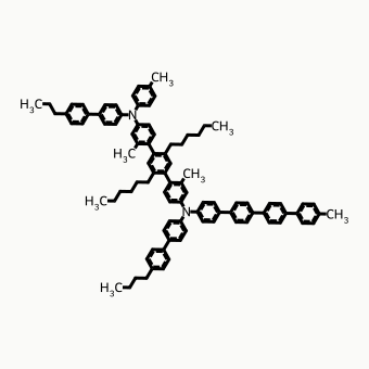 CCCCCCc1cc(-c2ccc(N(c3ccc(-c4ccc(CCCC)cc4)cc3)c3ccc(-c4ccc(-c5ccc(-c6ccc(C)cc6)cc5)cc4)cc3)cc2C)c(CCCCCC)cc1-c1ccc(N(c2ccc(C)cc2)c2ccc(-c3ccc(CCC)cc3)cc2)cc1C